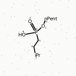 CCCCCOP(=O)(O)CCC(C)C